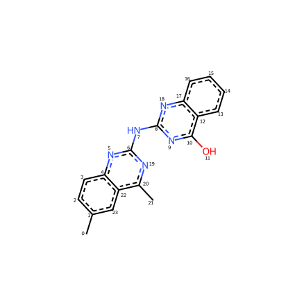 Cc1ccc2nc(Nc3nc(O)c4ccccc4n3)nc(C)c2c1